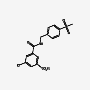 CCOC(=O)c1cc(Cl)cc(C(=O)NCc2ccc(S(C)(=O)=O)cc2)n1